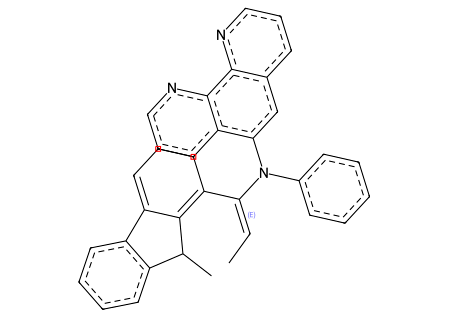 C/C=C(\C1=C2C(=CCC1)c1ccccc1C2C)N(c1ccccc1)c1cc2cccnc2c2ncccc12